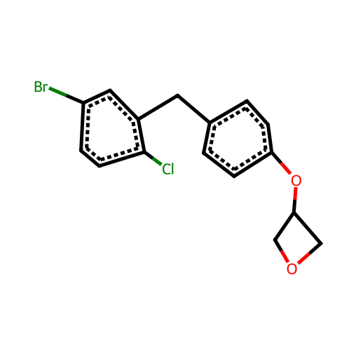 Clc1ccc(Br)cc1Cc1ccc(OC2COC2)cc1